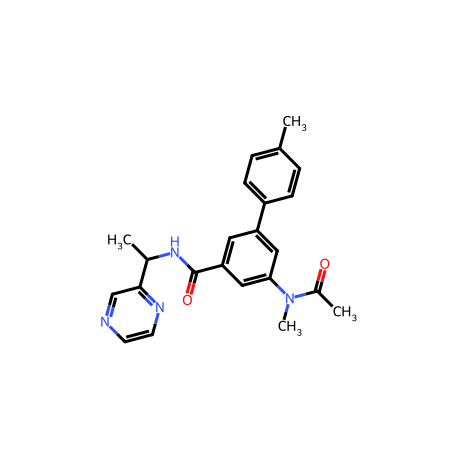 CC(=O)N(C)c1cc(C(=O)NC(C)c2cnccn2)cc(-c2ccc(C)cc2)c1